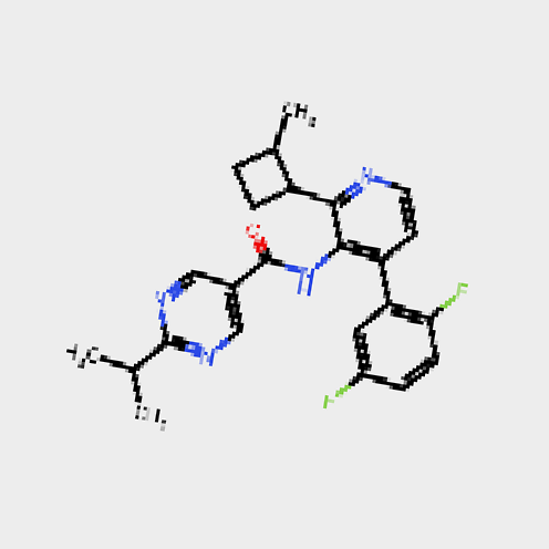 CC(C)c1ncc(C(=O)Nc2c(-c3cc(F)ccc3F)ccnc2C2CCC2C)cn1